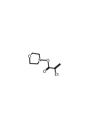 C=C(CC)C(=O)ON1CCOCC1